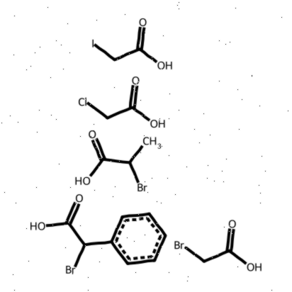 CC(Br)C(=O)O.O=C(O)C(Br)c1ccccc1.O=C(O)CBr.O=C(O)CCl.O=C(O)CI